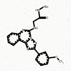 CCCCNC(=O)CNc1nc2ccccc2c2nc(-c3cccc(OC(F)(F)F)c3)nn12